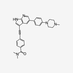 CN1CCN(c2ccc(-c3cnc4[nH]cc(C#Cc5ccc(C(=O)N(C)C)cc5)c4c3)cc2)CC1